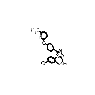 Cc1cccc(OC2CCC(c3nnc4n3-c3ccc(Cl)cc3CNC4)CC2)n1